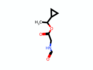 CC(OC(=O)CNC=O)C1CC1